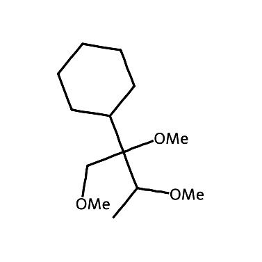 COCC(OC)(C1CCCCC1)C(C)OC